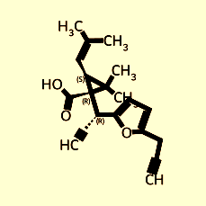 C#CCc1ccc([C@H](C#C)[C@]2(C(=O)O)[C@@H](C=C(C)C)C2(C)C)o1